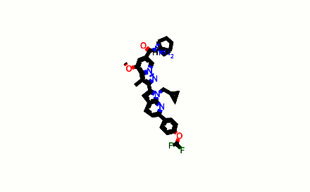 COc1cc(C(=O)N2CC3CCC2[C@@H]3N)cn2nc(-c3cc4ccc(-c5ccc(OC(F)F)cc5)nc4n3CC3CC3)c(C)c12